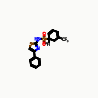 [2H]C1(S(=O)(=O)Nc2nc(-c3ccccc3)cs2)C=CC=C(C(F)(F)F)C1